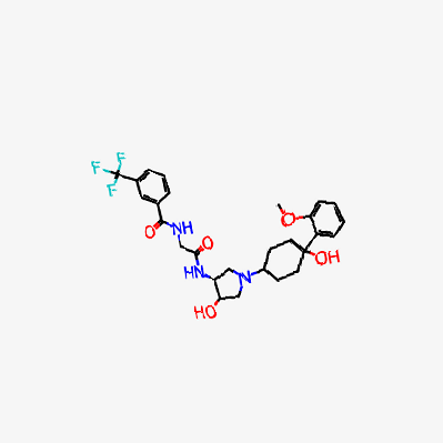 COc1ccccc1C1(O)CCC(N2C[C@@H](O)[C@@H](NC(=O)CNC(=O)c3cccc(C(F)(F)F)c3)C2)CC1